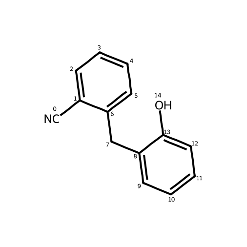 N#Cc1ccccc1Cc1ccccc1O